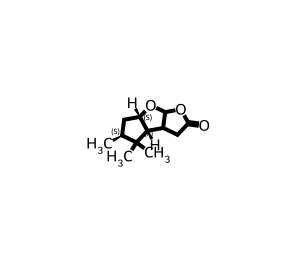 C[C@H]1C[C@@H]2OC3OC(=O)CC3[C@@H]2C1(C)C